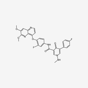 CNn1cc(C(=O)Nc2ccc(Oc3ccnc4cc(OC)c(OC)nc34)c(F)c2)c(=O)c(-c2ccc(F)cc2)c1